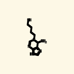 NC1c2nc[nH]c2N=CN1CCCCS